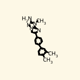 Cc1ccc(-c2ccc(-c3cn4nc(N)n(C)c4n3)cc2)cc1C